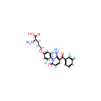 Nc1c(C(=O)c2cccc(F)c2F)ccc(=O)n1-c1c(F)cc(OCCCC(N)C(=O)O)cc1F